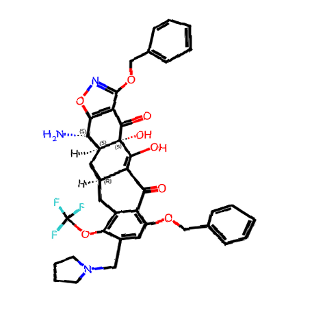 N[C@@H]1c2onc(OCc3ccccc3)c2C(=O)[C@@]2(O)C(O)=C3C(=O)c4c(OCc5ccccc5)cc(CN5CCCC5)c(OC(F)(F)F)c4C[C@H]3C[C@@H]12